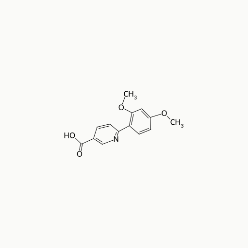 COc1ccc(-c2ccc(C(=O)O)cn2)c(OC)c1